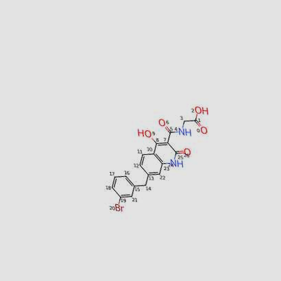 O=C(O)CNC(=O)c1c(O)c2ccc(Cc3cccc(Br)c3)cc2[nH]c1=O